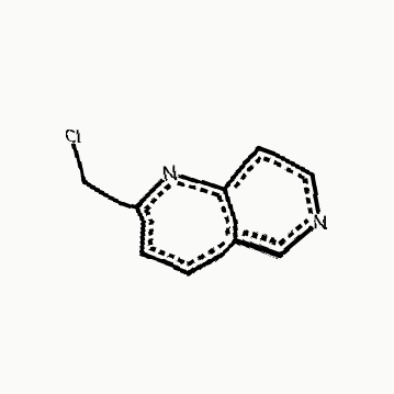 ClCc1ccc2cnccc2n1